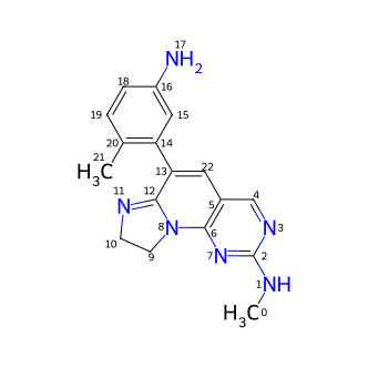 CNc1ncc2c(n1)N1CCN=C1C(c1cc(N)ccc1C)=C2